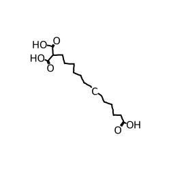 O=C(O)CCCCCCCCCCCCCC(C(=O)O)C(=O)O